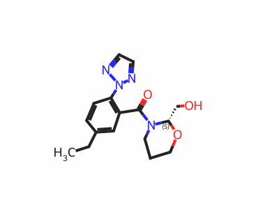 CCc1ccc(-n2nccn2)c(C(=O)N2CCCO[C@H]2CO)c1